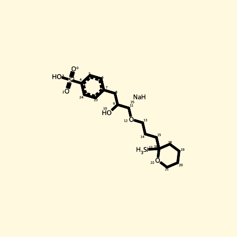 O=S(=O)(O)c1ccc(CC(O)COCCCC2([SiH3])CCCCO2)cc1.[NaH]